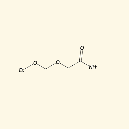 CCOCOCC([NH])=O